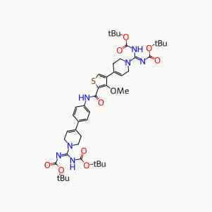 COc1c(C2=CCN(C(=NC(=O)OC(C)(C)C)NC(=O)OC(C)(C)C)CC2)csc1C(=O)Nc1ccc(C2=CCN(C(=NC(=O)OC(C)(C)C)NC(=O)OC(C)(C)C)CC2)cc1